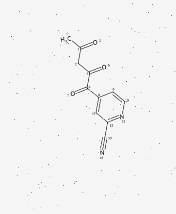 CC(=O)CC(=O)C(=O)c1ccnc(C#N)c1